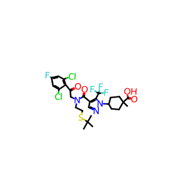 CC(C)(C)SCCN(CC(=O)c1c(Cl)cc(F)cc1Cl)C(=O)c1cnn(C2CCC(C)(C(=O)O)CC2)c1C(F)(F)F